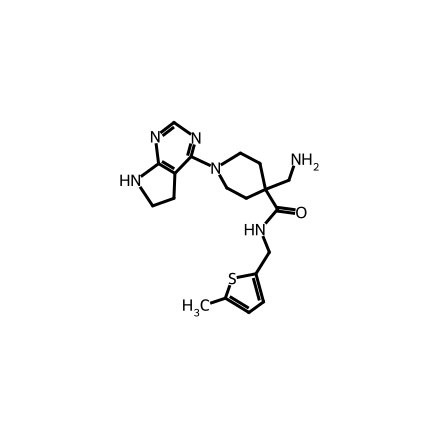 Cc1ccc(CNC(=O)C2(CN)CCN(c3ncnc4c3CCN4)CC2)s1